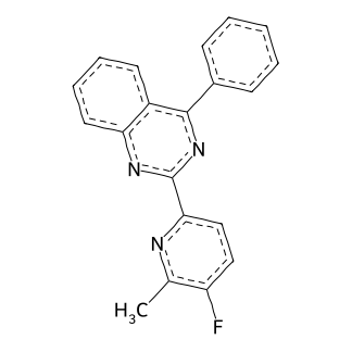 Cc1nc(-c2nc(-c3ccccc3)c3ccccc3n2)ccc1F